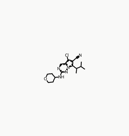 CC(C)C(C)c1c(C#N)c(Cl)c2cnc(NC3CCOCC3)nn12